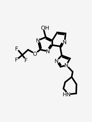 Oc1nc(OCC(F)(F)F)nc2c(-c3cn(CC4CCNCC4)cn3)nccc12